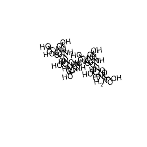 N[C@@H](CC(=O)O)C(=O)N[C@@H](CC(=O)O)C(=O)NCC(=O)N[C@@H](CC(=O)O)C(=O)N[C@@H](CC(=O)O)C(=O)NCC(=O)N[C@@H](CC(=O)O)C(=O)N[C@@H](CC(=O)O)C(=O)NCC(=O)N[C@@H](CC(=O)O)C(=O)N[C@@H](CC(=O)O)C(=O)O